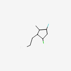 BCCC1C(Cl)CC(F)C1C